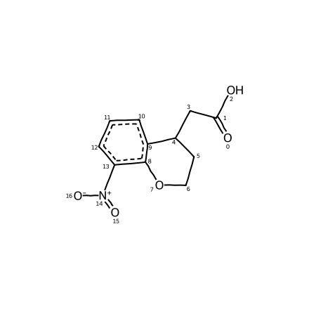 O=C(O)CC1CCOc2c1cccc2[N+](=O)[O-]